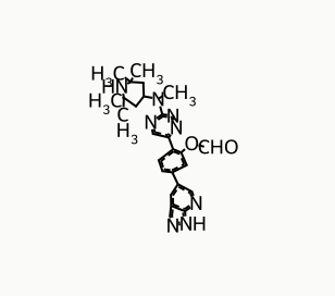 CN(c1ncc(-c2ccc(-c3cnc4[nH]ncc4c3)cc2OC=O)nn1)C1CC(C)(C)NC(C)(C)C1